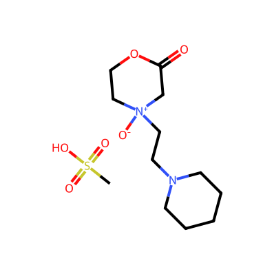 CS(=O)(=O)O.O=C1C[N+]([O-])(CCN2CCCCC2)CCO1